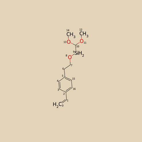 C=Cc1ccc(CCO[SiH2]C(OC)OC)cc1